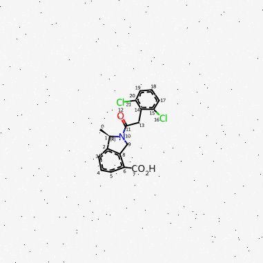 C[C@@H]1c2cccc(C(=O)O)c2CN1C(=O)Cc1c(Cl)cccc1Cl